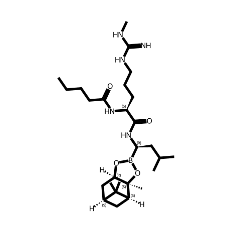 CCCCC(=O)N[C@@H](CCCNC(=N)NC)C(=O)N[C@@H](CC(C)C)B1O[C@@H]2C[C@@H]3C[C@@H](C3(C)C)[C@]2(C)O1